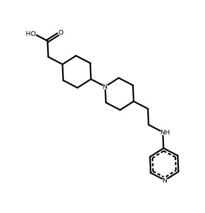 O=C(O)CC1CCC(N2CCC(CCNc3ccncc3)CC2)CC1